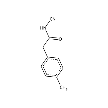 Cc1ccc(CC(=O)NC#N)cc1